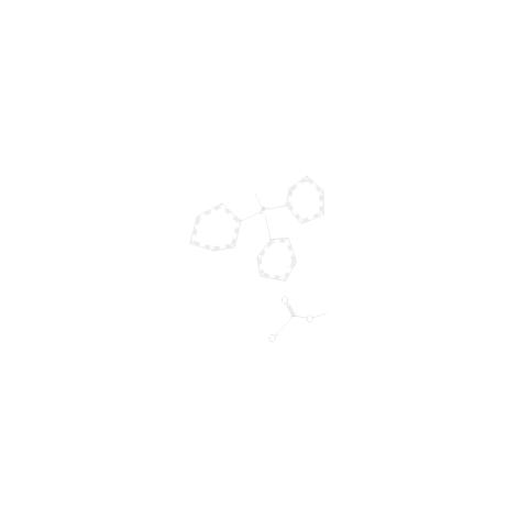 COC(=O)[O-].C[P+](c1ccccc1)(c1ccccc1)c1ccccc1